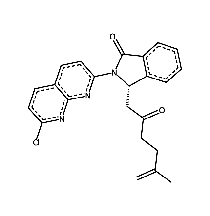 C=C(C)CCC(=O)C[C@H]1c2ccccc2C(=O)N1c1ccc2ccc(Cl)nc2n1